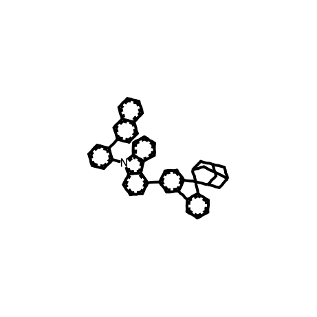 c1ccc(-n2c3ccccc3c3c(-c4ccc5c(c4)-c4ccccc4C54C5CC6CC(C5)CC4C6)cccc32)c(-c2ccc3ccccc3c2)c1